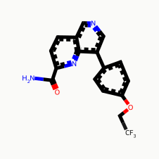 NC(=O)c1ccc2cncc(-c3ccc(OCC(F)(F)F)cc3)c2n1